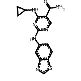 NC(=O)c1cnc(Nc2ccc3scnc3c2)nc1NC1CC1